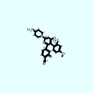 COc1ccc(-c2c(O)cc(N3CCC(N)CC3)nc2-c2ccc(C#N)c(F)c2)c(F)c1